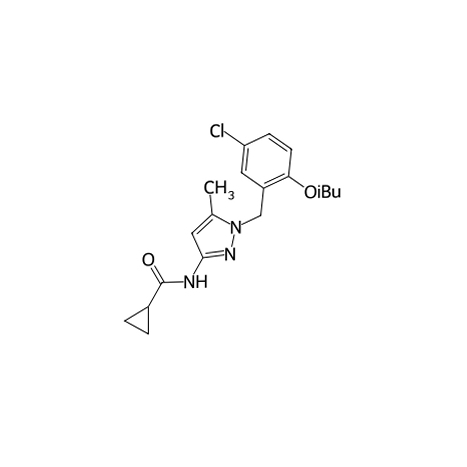 Cc1cc(NC(=O)C2CC2)nn1Cc1cc(Cl)ccc1OCC(C)C